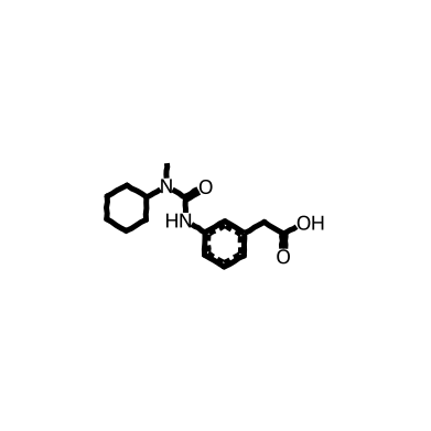 CN(C(=O)Nc1cccc(CC(=O)O)c1)C1CCCCC1